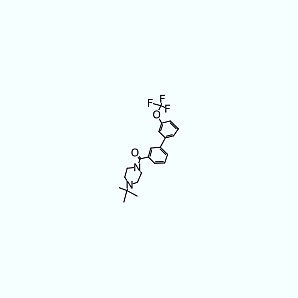 CC(C)(C)N1CCN(C(=O)c2cccc(-c3cccc(OC(F)(F)F)c3)c2)CC1